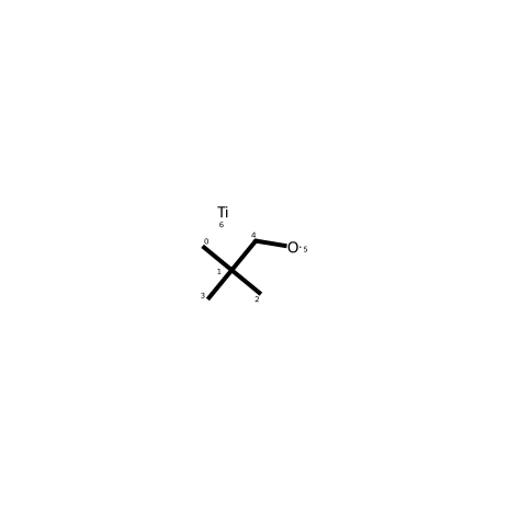 CC(C)(C)C[O].[Ti]